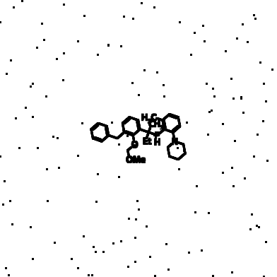 CCC(C)(Pc1c(C)cccc1N1CCCCC1)c1cccc(Cc2ccccc2)c1OCOC